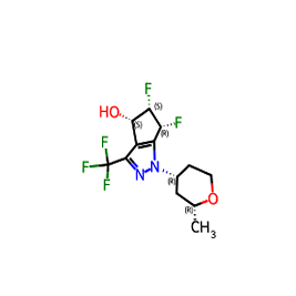 C[C@@H]1C[C@H](n2nc(C(F)(F)F)c3c2[C@@H](F)[C@@H](F)[C@H]3O)CCO1